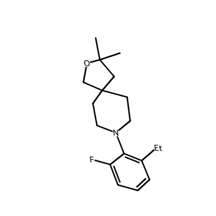 [CH2]Cc1cccc(F)c1N1CCC2(CC1)COC(C)(C)C2